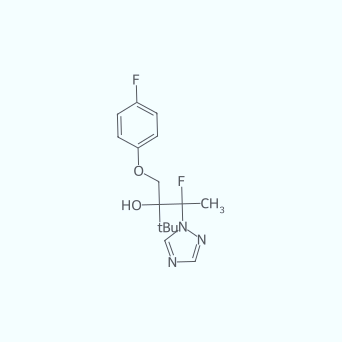 CC(C)(C)C(O)(COc1ccc(F)cc1)C(C)(F)n1cncn1